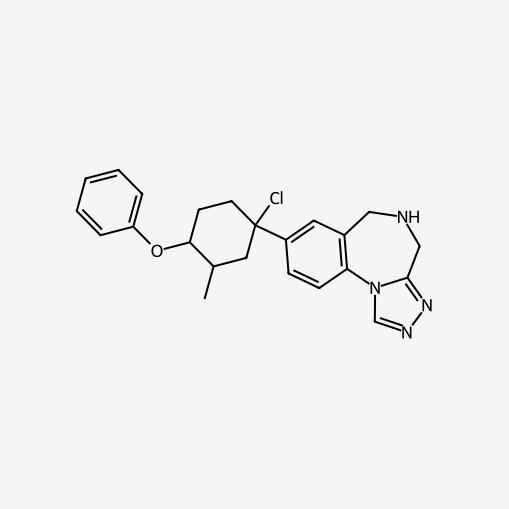 CC1CC(Cl)(c2ccc3c(c2)CNCc2nncn2-3)CCC1Oc1ccccc1